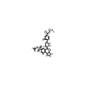 CCC(=O)c1ccc(N2CCN(C(=O)c3cc(S(=O)(=O)CC4CC4)ccc3N3CCCC3)CC2)c(F)c1